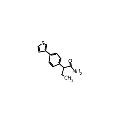 CCC(C(N)=O)c1ccc(-c2ccsc2)cc1